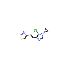 Clc1c(C=Cc2cscn2)ncn1C1CC1